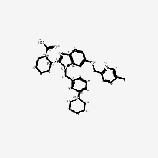 Cc1ccc(COc2ccc3nc([C@@H]4CCCC[C@H]4C(=O)O)n(Cc4cccc(N5CCCCC5)c4)c3c2)nc1